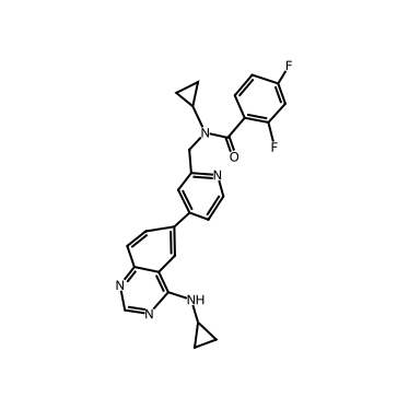 O=C(c1ccc(F)cc1F)N(Cc1cc(-c2ccc3ncnc(NC4CC4)c3c2)ccn1)C1CC1